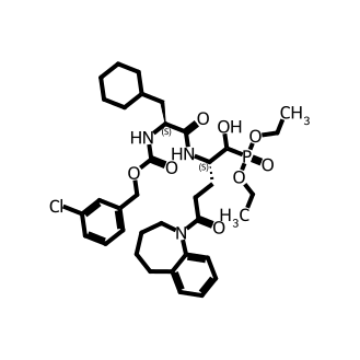 CCOP(=O)(OCC)C(O)[C@H](CCC(=O)N1CCCCc2ccccc21)NC(=O)[C@H](CC1CCCCC1)NC(=O)OCc1cccc(Cl)c1